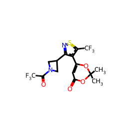 CC1(C)OC(=O)C=C(c2c(C3CN(C(=O)C(F)(F)F)C3)nsc2C(F)(F)F)O1